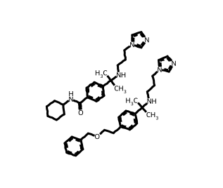 CC(C)(NCCCn1ccnc1)c1ccc(C(=O)NC2CCCCC2)cc1.CC(C)(NCCCn1ccnc1)c1ccc(CCOCc2ccccc2)cc1